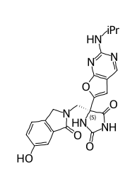 CC(C)Nc1ncc2cc([C@]3(CN4Cc5ccc(O)cc5C4=O)NC(=O)NC3=O)oc2n1